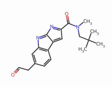 CN(CC(C)(C)C)C(=O)C1=NC2=Nc3cc(CC=O)ccc3C2=C1